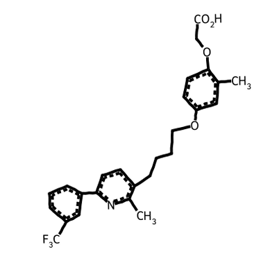 Cc1cc(OCCCCc2ccc(-c3cccc(C(F)(F)F)c3)nc2C)ccc1OCC(=O)O